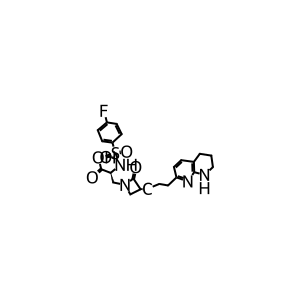 O=C(O)[C@H](CN1C[C@H](CCCc2ccc3c(n2)NCCC3)C1=O)NS(=O)(=O)c1ccc(F)cc1